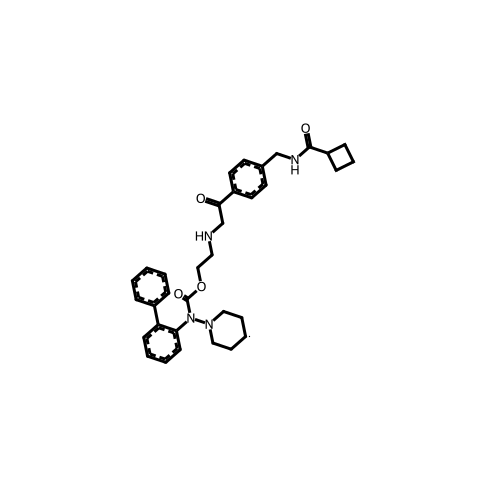 O=C(CNCCOC(=O)N(c1ccccc1-c1ccccc1)N1CC[CH]CC1)c1ccc(CNC(=O)C2CCC2)cc1